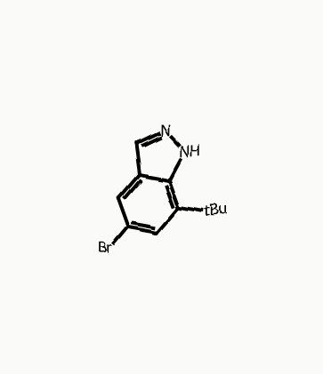 CC(C)(C)c1cc(Br)cc2cn[nH]c12